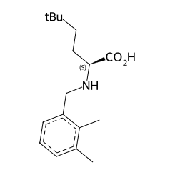 Cc1cccc(CN[C@@H](CCC(C)(C)C)C(=O)O)c1C